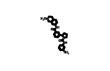 CN1CCc2ccc(NC(=O)c3cccc(C4CCCN4C(=O)Nc4cccc(N)c4)c3)cc2C1